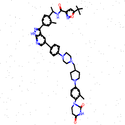 Cc1cc(-c2n[nH]c3ncc(-c4ccc(N5CCN(CC6CCN(c7ccc(N8CCC(=O)NC8=O)c(C)c7)CC6)CC5)cc4)cc23)ccc1C(C)NC(=O)c1cc(C(C)(C)C)on1